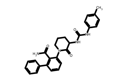 Cc1ccc(NC(=O)NC2CCCN(c3cccc(-c4ccccc4)c3C(N)=O)C2=O)cc1